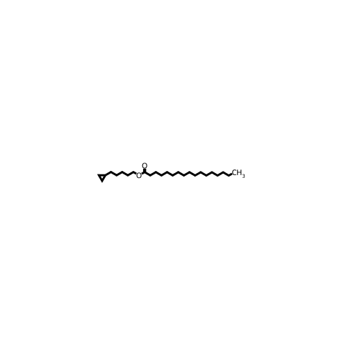 CCCCCCCCCCCCCCCCC(=O)OCCCCCC1CC1